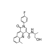 Cc1cccc2cc3c(=O)n(-c4ccc(F)cc4)cc(C(=O)NC(C)CO)c3nc12